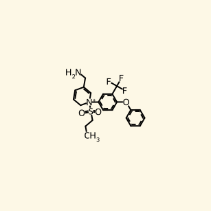 CCCS(=O)(=O)[N+]1(c2ccc(Oc3ccccc3)c(C(F)(F)F)c2)C=C(CN)C=CC1